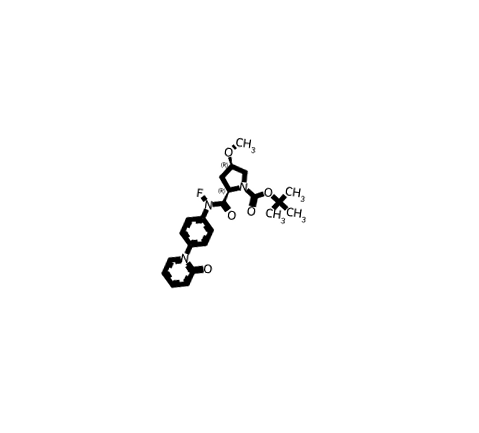 CO[C@@H]1C[C@H](C(=O)N(F)c2ccc(-n3ccccc3=O)cc2)N(C(=O)OC(C)(C)C)C1